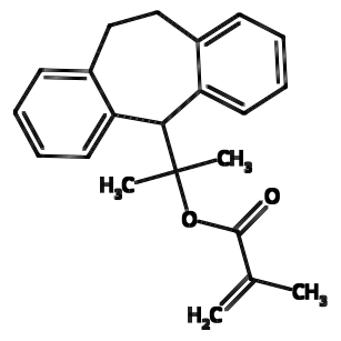 C=C(C)C(=O)OC(C)(C)C1c2ccccc2CCc2ccccc21